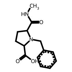 CNC(=O)C1CCC(C(=O)O)N1Cc1ccccc1